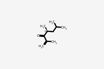 C=C(C)C(=O)[C@@H](C)CC(C)C